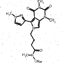 CON(C)C(=O)CCCn1cc2c(c1-c1ccn(C)n1)c(=O)n(C)c(=O)n2C